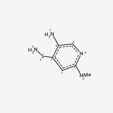 CNc1cc(SN)c(N)cn1